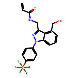 C=CC(=O)NCc1nn(-c2ccc(S(F)(F)(F)(F)F)cc2)c2cccc(CO)c12